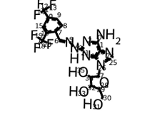 Nc1nc(N/N=C/c2ccc(C(F)(F)F)cc2C(F)(F)F)nc2c1ncn2C1OC(CO)C(O)C1O